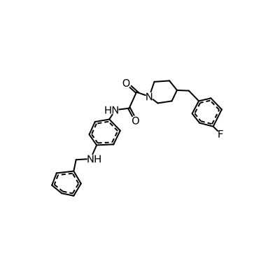 O=C(Nc1ccc(NCc2ccccc2)cc1)C(=O)N1CCC(Cc2ccc(F)cc2)CC1